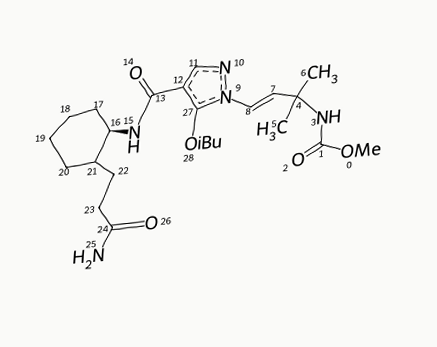 COC(=O)NC(C)(C)/C=C/n1ncc(C(=O)N[C@@H]2CCCCC2CCC(N)=O)c1OCC(C)C